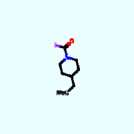 COCC1CCN(C(=O)I)CC1